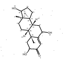 C[C@]12CC(O)C(=O)C=C1C(O)C[C@@H]1[C@H]2CC[C@]2(C)C(O)CC[C@@H]12